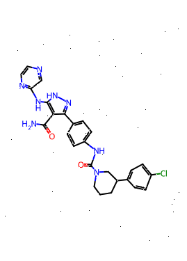 NC(=O)c1c(-c2ccc(NC(=O)N3CCCC(c4ccc(Cl)cc4)C3)cc2)n[nH]c1Nc1cnccn1